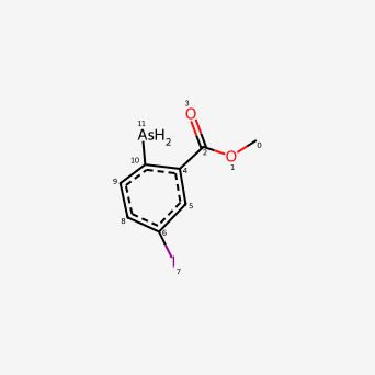 COC(=O)c1cc(I)ccc1[AsH2]